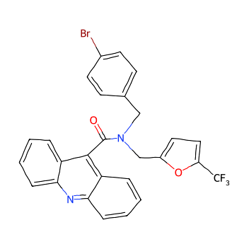 O=C(c1c2ccccc2nc2ccccc12)N(Cc1ccc(Br)cc1)Cc1ccc(C(F)(F)F)o1